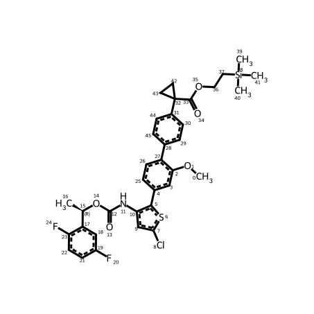 COc1cc(-c2sc(Cl)cc2NC(=O)O[C@H](C)c2cc(F)ccc2F)ccc1-c1ccc(C2(C(=O)OCC[Si](C)(C)C)CC2)cc1